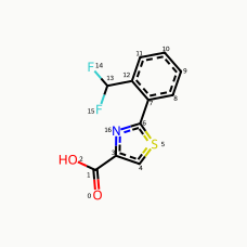 O=C(O)c1csc(-c2ccccc2C(F)F)n1